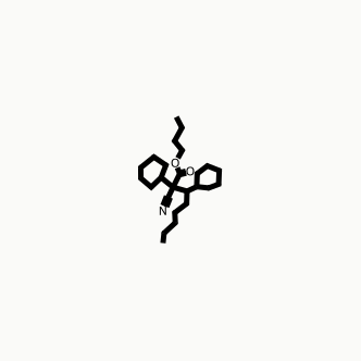 CCCCCC(C1CCCCC1)C(C#N)(C(=O)OCCCC)C1CCCCC1